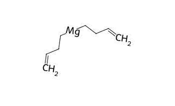 C=CC[CH2][Mg][CH2]CC=C